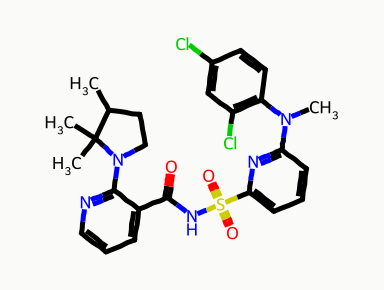 CC1CCN(c2ncccc2C(=O)NS(=O)(=O)c2cccc(N(C)c3ccc(Cl)cc3Cl)n2)C1(C)C